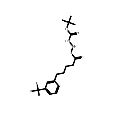 CC(C)(C)OC(=O)NNOC(=O)CCCCc1cccc(C(F)(F)F)c1